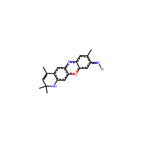 CCN=c1cc2oc3cc4c(cc3nc-2cc1C)C(C)=CC(C)(C)N4